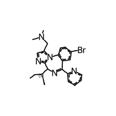 CC[C@H](C)C1N=C(c2ccccn2)c2cc(Br)ccc2-n2c(CN(C)C)cnc21